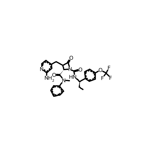 CC[C@@H](NC(=O)N1C(=O)C(Cc2ccnc(N)c2)[C@H]1C(=O)N(C)c1ccccc1)c1ccc(OC(F)(F)F)cc1